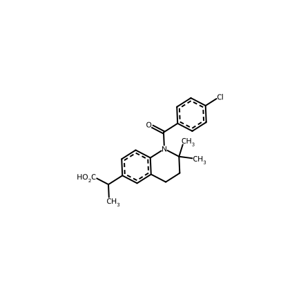 CC(C(=O)O)c1ccc2c(c1)CCC(C)(C)N2C(=O)c1ccc(Cl)cc1